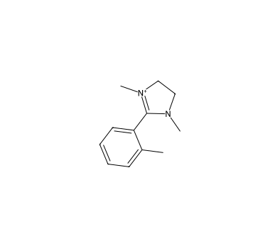 Cc1ccccc1C1=[N+](C)CCN1C